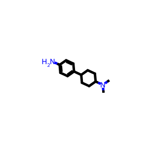 CN(C)C1CCC(c2ccc(N)cc2)CC1